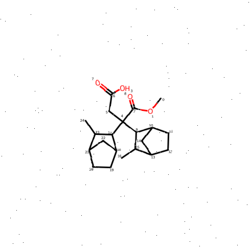 COC(=O)C(CC(=O)O)(C1C2CCC(C2)C1C)C1C2CCC(C2)C1C